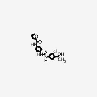 CC(O)c1ccc(NC(=S)Nc2ccc(NC(=O)c3ccco3)cc2)cc1Cl